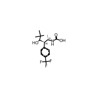 C[C@H](NC(=O)O)[C@@H](c1ccc(C(F)(F)F)cc1)C(O)C(C)(C)C